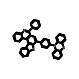 c1ccc(-c2nc3ccccc3c3c2cc(-c2ccc(N4c5ccccc5Sc5ccccc54)cc2)c2sc4ccccc4c23)cc1